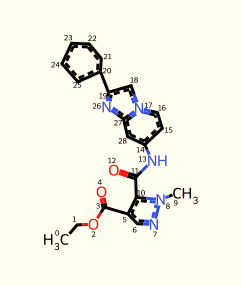 CCOC(=O)c1cnn(C)c1C(=O)Nc1ccn2cc(-c3ccccc3)nc2c1